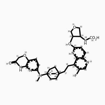 CN(c1ccc2c(n1)NC(=O)CO2)C12CCC(CCc3c(F)cnc4ccc(OC5COCC5NC(=O)O)nc34)(CC1)OC2